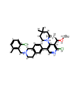 Cc1cccc(Cl)c1CN1CCc2cc(-c3cnc(Cl)c(C(OC(C)(C)C)C(=O)O)c3N3CCC(C)(C)CC3)ccc2C1